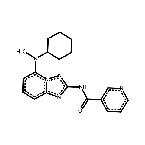 CN(c1cccc2nc(NC(=O)c3cccnc3)nn12)C1CCCCC1